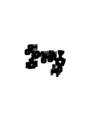 O=C(N[C@@H]1C[C@@H](Cn2nccn2)N(C(=O)O)C1)c1nnc(-c2cc(OC(F)(F)F)ccc2C2CC2)o1